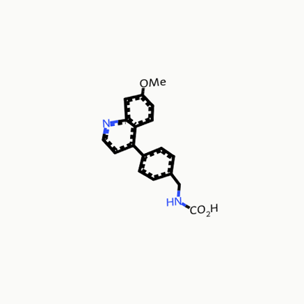 COc1ccc2c(-c3ccc(CNC(=O)O)cc3)ccnc2c1